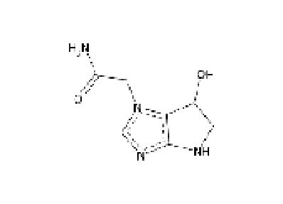 NC(=O)Cn1cnc2c1C(O)CN2